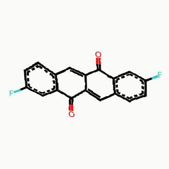 O=C1C2=Cc3ccc(F)cc3C(=O)C2=Cc2ccc(F)cc21